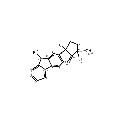 CCn1c2ccccc2c2ccc(C3(C)CCC(C)(C)C3=O)cc21